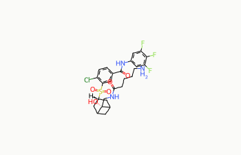 NCCCCC(=O)NC[C@]1(O)C2CC1C[C@@H](S(=O)(=O)c1cc(C(=O)Nc3cc(F)c(F)c(F)c3)ccc1Cl)C2